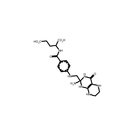 NC1(CNc2ccc(C(=O)NC(CCC(=O)O)C(=O)O)cc2)NC(=O)C2=C(NCCN2)N1